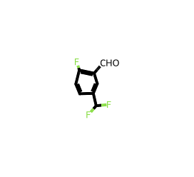 O=Cc1cc(C(F)F)ccc1F